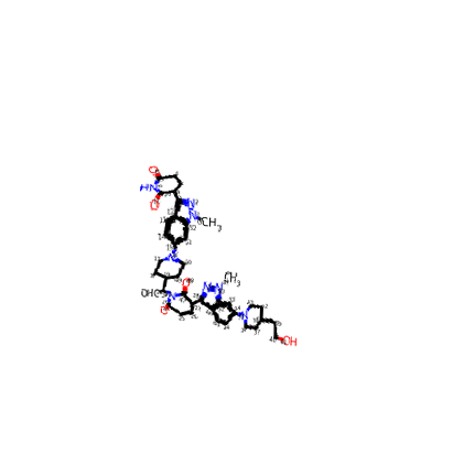 Cn1nc(C2CCC(=O)NC2=O)c2ccc(N3CCC(C(C=O)N4C(=O)CCC(c5nn(C)c6cc(N7CCC(CCO)CC7)ccc56)C4=O)CC3)cc21